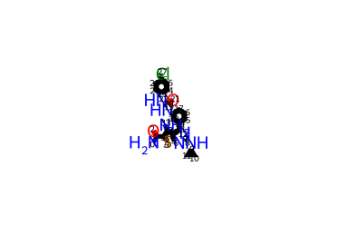 NC(=O)c1sc2nc(NC3CC3)nc(-c3cccc(NC(=O)Nc4ccc(Cl)cc4)c3)c2c1N